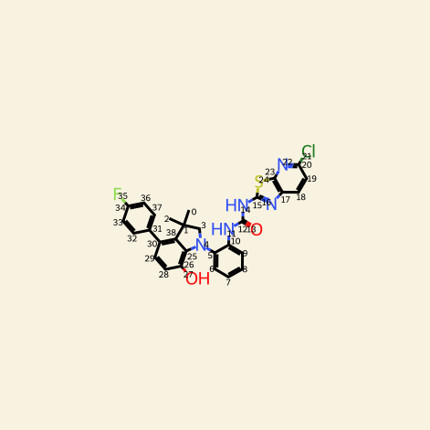 CC1(C)CN(c2ccccc2NC(=O)Nc2nc3ccc(Cl)nc3s2)c2c(O)ccc(-c3ccc(F)cc3)c21